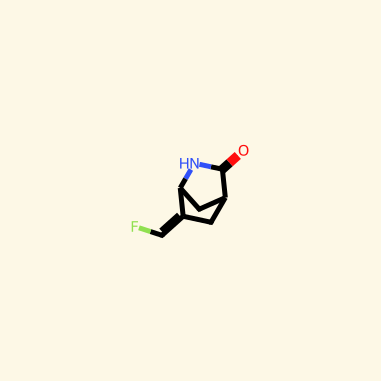 O=C1NC2CC1C/C2=C/F